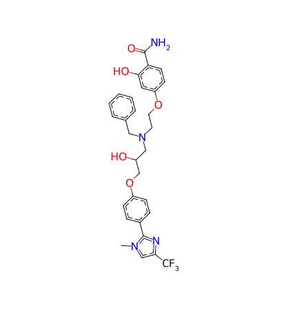 Cn1cc(C(F)(F)F)nc1-c1ccc(OCC(O)CN(CCOc2ccc(C(N)=O)c(O)c2)Cc2ccccc2)cc1